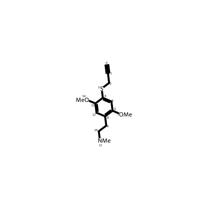 C#CCSc1cc(OC)c(CCNC)cc1OC